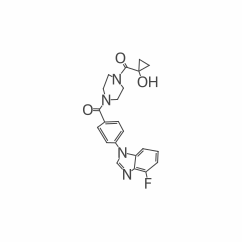 O=C(c1ccc(-n2cnc3c(F)cccc32)cc1)N1CCN(C(=O)C2(O)CC2)CC1